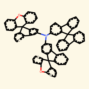 c1ccc2c(c1)Oc1ccccc1C21c2ccccc2-c2cc(N(c3ccc4c(c3)-c3ccccc3C43c4ccccc4Oc4ccccc43)c3ccc4c(c3)C3(c5ccccc5-c5ccccc53)c3ccccc3-4)ccc21